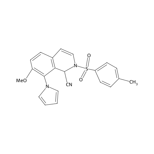 COc1ccc2c(c1-n1cccc1)C(C#N)N(S(=O)(=O)c1ccc(C)cc1)C=C2